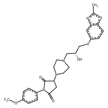 Cc1nc2cc(OC[C@H](O)CN3CCN(C4CC(=O)N(c5ccc(OC(F)(F)F)cc5)C4=O)CC3)ccc2s1